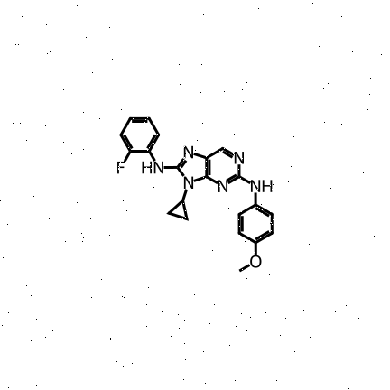 COc1ccc(Nc2ncc3nc(Nc4ccccc4F)n(C4CC4)c3n2)cc1